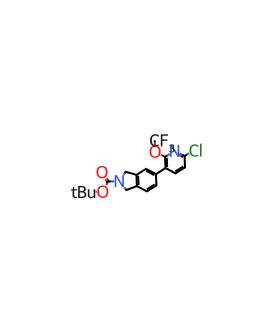 CC(C)(C)OC(=O)N1Cc2ccc(-c3ccc(Cl)nc3OC(F)(F)F)cc2C1